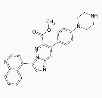 COC(=O)c1nn2c(-c3ccnc4ccccc34)cnc2cc1-c1ccc(N2CCNCC2)cc1